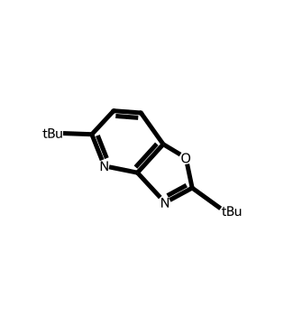 CC(C)(C)c1ccc2oc(C(C)(C)C)nc2n1